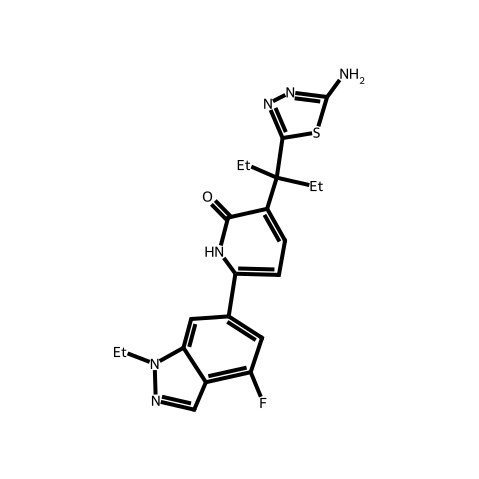 CCn1ncc2c(F)cc(-c3ccc(C(CC)(CC)c4nnc(N)s4)c(=O)[nH]3)cc21